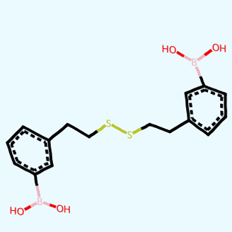 OB(O)c1cccc(CCSSCCc2cccc(B(O)O)c2)c1